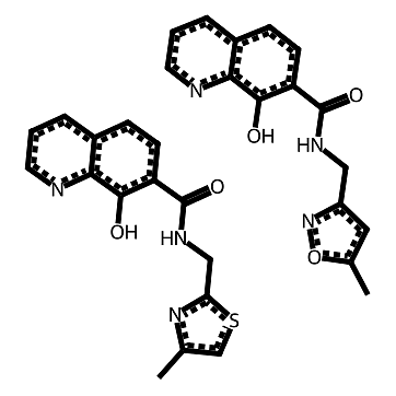 Cc1cc(CNC(=O)c2ccc3cccnc3c2O)no1.Cc1csc(CNC(=O)c2ccc3cccnc3c2O)n1